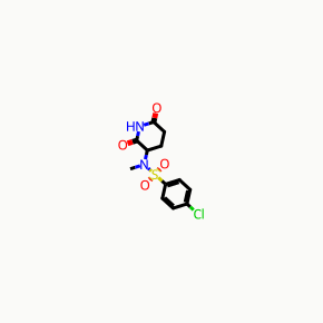 CN(C1CCC(=O)NC1=O)S(=O)(=O)c1ccc(Cl)cc1